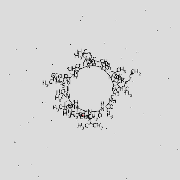 C=C=C=C(C[C@H]1C(=O)N[C@@H](C)C(=O)NCC(=O)N(C)[C@@H](C(=C)CC(C)CC=C=C)C(=O)N(C)[C@@H](CC(C)C)C(=O)N(C)[C@@H](C(=C)C)C(=O)N(C)C(C[C@@H](C)C/C=C\C)C(=O)N[C@@H](CC)C(=O)N(C)/C(SCC[N+](C)(C)[O-])=C(/O)N(C)[C@@H](CC(C)(C)O)C(=O)N[C@@H](C(=C)C)C(=O)N1C)C(C)C